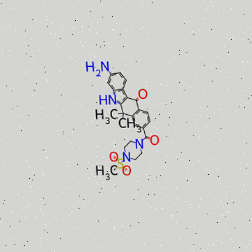 CC1(C)c2cc(C(=O)N3CCN(S(C)(=O)=O)CC3)ccc2C(=O)c2c1[nH]c1cc(N)ccc21